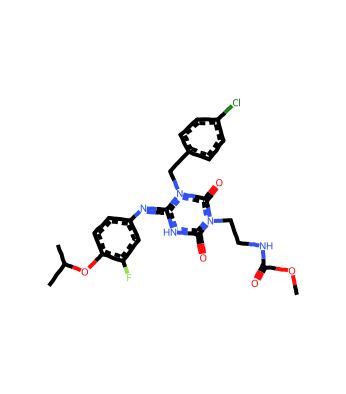 COC(=O)NCCn1c(=O)[nH]/c(=N\c2ccc(OC(C)C)c(F)c2)n(Cc2ccc(Cl)cc2)c1=O